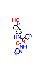 O=C(Nc1ccncn1)c1oc2cnccc2c1Nc1ccc2c(c1)CC/C2=N\O